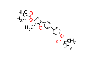 C=C(C)C(=O)Oc1ccc(-c2ccc3c(c2)oc2c(C)c(OC(=O)C(=C)C)ccc23)cc1